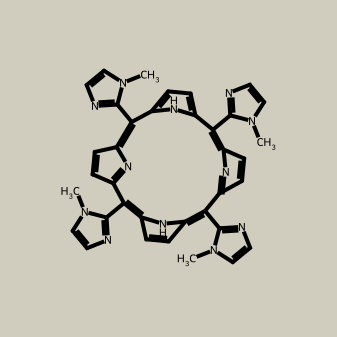 Cn1ccnc1-c1c2nc(c(-c3nccn3C)c3ccc([nH]3)c(-c3nccn3C)c3nc(c(-c4nccn4C)c4ccc1[nH]4)C=C3)C=C2